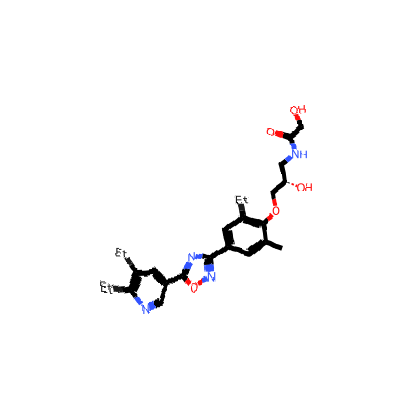 CCc1cc(-c2nc(-c3cc(C)c(OC[C@@H](O)CNC(=O)CO)c(CC)c3)no2)cnc1CC